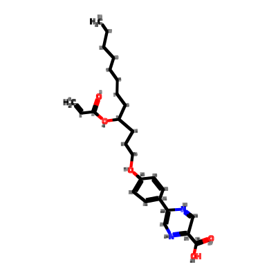 C=CC(=O)OC(CCCCCCCC)CCCOc1ccc(-c2cnc(C(=O)O)cn2)cc1